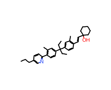 CCCc1ccc(-c2ccc(C(CC)(CC)c3ccc(/C=C/C4(O)CCCCC4)c(C)c3)cc2C)nc1